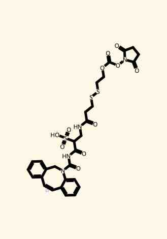 O=C(CCSSCCOC(=O)ON1C(=O)CCC1=O)NCC(C(=O)NC(=O)N1Cc2ccccc2/C=C\c2ccccc21)S(=O)(=O)O